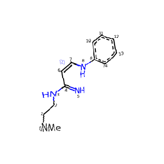 CNCCNC(=N)/C=C\Nc1ccccc1